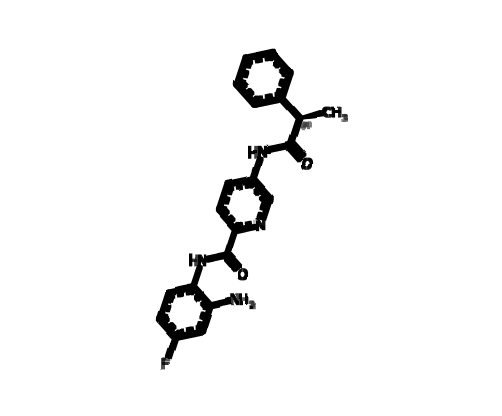 C[C@@H](C(=O)Nc1ccc(C(=O)Nc2ccc(F)cc2N)nc1)c1ccccc1